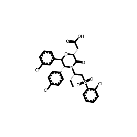 CC[C@@H](CS(=O)(=O)c1ccccc1Cl)N1C(=O)[C@@H](CC(=O)O)O[C@H](c2cccc(Cl)c2)[C@H]1c1ccc(Cl)cc1